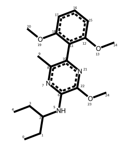 CCC(CC)Nc1nc(C)c(-c2c(OC)cccc2OC)nc1OC